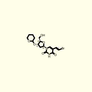 O=c1[nH]c(=O)n([C@H]2C[C@H](OC3CCCCO3)[C@@H](CO)O2)cc1/C=C/Br